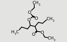 CCCC(OC(=O)OCC)C(CCC)C(=O)OCC